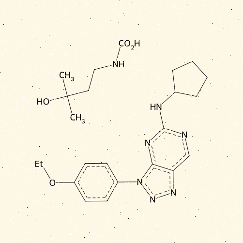 CC(C)(O)CCNC(=O)O.CCOc1ccc(-n2nnc3cnc(NC4CCCC4)nc32)cc1